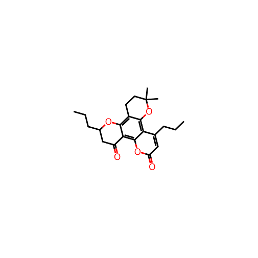 CCCc1cc(=O)oc2c3c(c4c(c12)OC(C)(C)CC4)OC(CCC)CC3=O